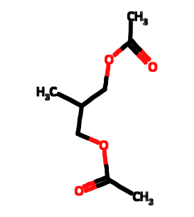 CC(=O)OCC(C)COC(C)=O